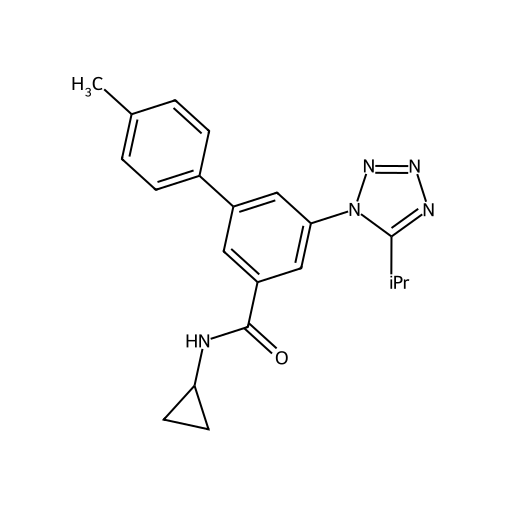 Cc1ccc(-c2cc(C(=O)NC3CC3)cc(-n3nnnc3C(C)C)c2)cc1